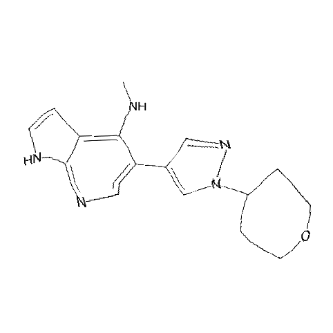 CNc1c(-c2cnn(C3CCOCC3)c2)cnc2[nH]ccc12